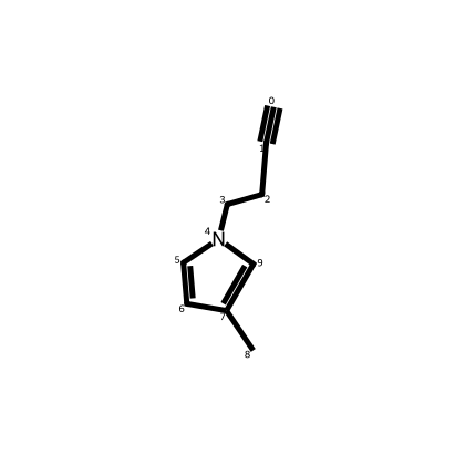 C#CCCn1ccc(C)c1